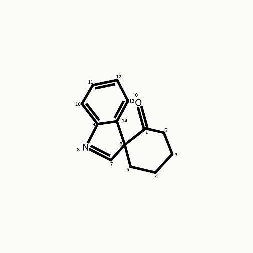 O=C1CCCCC12C=Nc1ccccc12